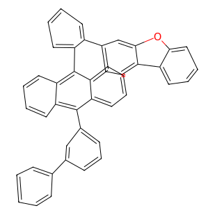 c1ccc(-c2cccc(-c3c4ccccc4c(-c4ccccc4-c4ccc5c(c4)oc4ccccc45)c4ccccc34)c2)cc1